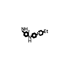 CCC1CCN(c2ccc(Nc3ccc(CN)cc3)cc2)CC1